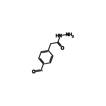 NNC(=O)Cc1ccc([C]=O)cc1